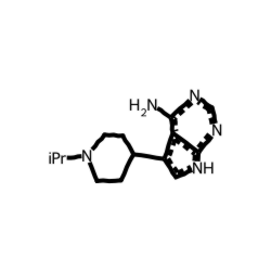 CC(C)N1CCC(c2c[nH]c3ncnc(N)c23)CC1